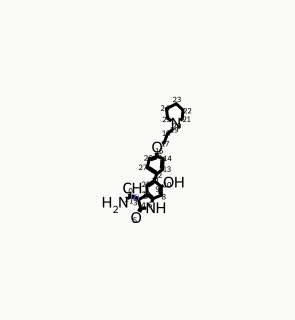 C/C(N)=C1/C(=O)Nc2cc(O)c(-c3ccc(OCCCN4CCCCC4)cc3)cc21